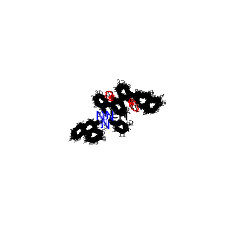 C=N/C(=N\C(=N/Cc1ccccc1)c1cc2ccccc2c2ccccc12)c1cccc2oc3c(-c4cccc5c4oc4c6ccccc6ccc54)cccc3c12